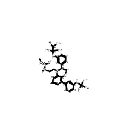 COS(=O)N(C)CCN1c2cccc(-c3cccc(OC(F)(F)F)c3)c2OCC1c1cccc(OC(F)(F)C(F)F)c1